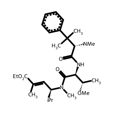 CCOC(=O)/C(C)=C/[C@H](C(C)C)N(C)C(=O)[C@@H](NC(=O)[C@@H](NC)C(C)(C)c1ccccc1)[C@H](C)OC